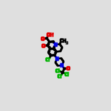 CC1CCc2c(N3CCN(C(=O)C(Cl)(Cl)Cl)CC3)c(Cl)cc3c(=O)c(C(=O)O)cn1c23